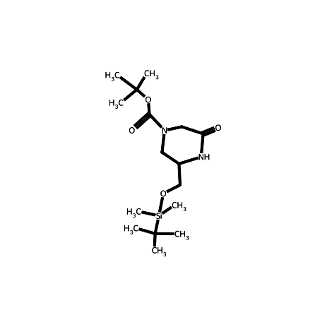 CC(C)(C)OC(=O)N1CC(=O)NC(CO[Si](C)(C)C(C)(C)C)C1